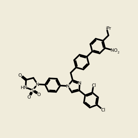 CC(C)Cc1ccc(-c2ccc(Cc3nc(-c4ccc(Cl)cc4Cl)cn3-c3ccc(N4CC(=O)NS4(=O)=O)cc3)cc2)cc1[N+](=O)[O-]